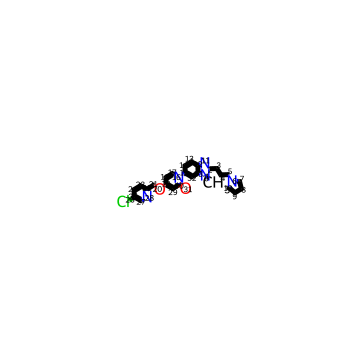 CN1C(CCCN2CCCC2)=NC2C=CC(n3ccc(OCc4ccc(Cl)cn4)cc3=O)=CC21